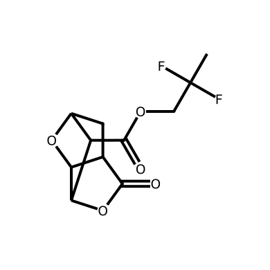 CC(F)(F)COC(=O)C1C2CC3C(=O)OC1C3O2